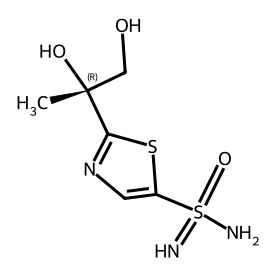 C[C@@](O)(CO)c1ncc(S(=N)(N)=O)s1